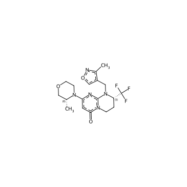 Cc1nocc1CN1c2nc(N3CCOC[C@H]3C)cc(=O)n2CC[C@H]1C(F)(F)F